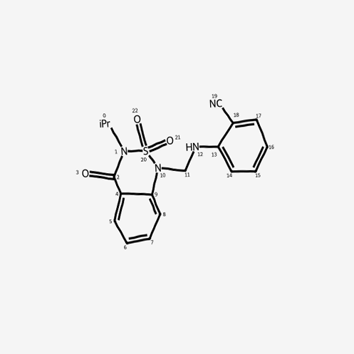 CC(C)N1C(=O)c2ccccc2N(CNc2ccccc2C#N)S1(=O)=O